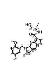 COc1ncc(F)cc1CN1c2nc3c(C(=O)N[C@H](C)CO)cnn3cc2C[C@H]1C